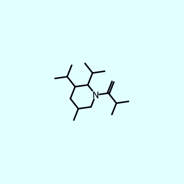 C=C(C(C)C)N1CC(C)CC(C(C)C)C1C(C)C